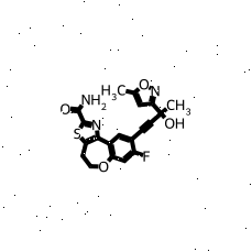 Cc1cc(C(C)(O)C#Cc2cc3c(cc2F)OCCc2sc(C(N)=O)nc2-3)no1